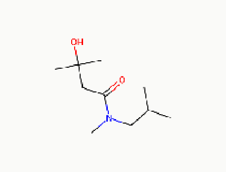 CC(C)CN(C)C(=O)CC(C)(C)O